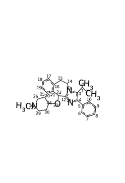 CC(C)c1c(-c2ccccc2)nc2n1CCc1ccccc1C2OC1CCN(C)CC1